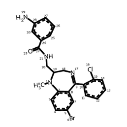 CN1c2ccc(Br)cc2C(c2ccccc2Cl)=NCC1CNC(=O)c1cccc(N)c1